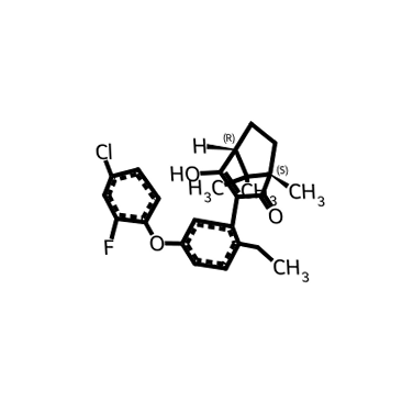 CCc1ccc(Oc2ccc(Cl)cc2F)cc1C1=C(O)[C@@H]2CC[C@](C)(C1=O)C2(C)C